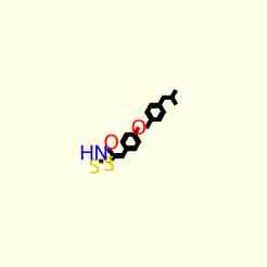 CC(C)Cc1ccc(COc2ccc(C=C3SC(=S)NC3=O)cc2)cc1